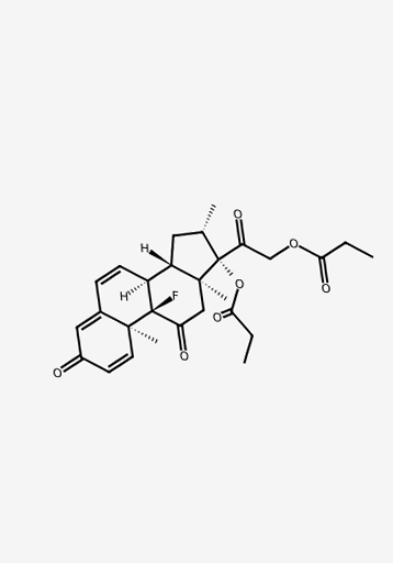 CCC(=O)OCC(=O)[C@]1(OC(=O)CC)[C@@H](C)C[C@H]2[C@@H]3C=CC4=CC(=O)C=C[C@]4(C)[C@@]3(F)C(=O)C[C@@]21C